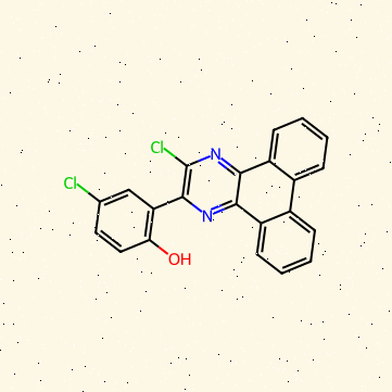 Oc1ccc(Cl)cc1-c1nc2c3ccccc3c3ccccc3c2nc1Cl